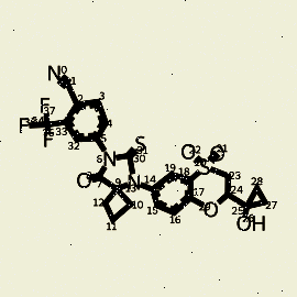 N#Cc1ccc(N2C(=O)C3(CCC3)N(c3ccc4c(c3)S(=O)(=O)CC(C3(O)CC3)O4)C2=S)cc1C(F)(F)F